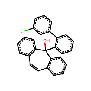 OC1(c2ccccc2-c2cccc(Cl)c2)c2ccccc2C=Cc2ccccc21